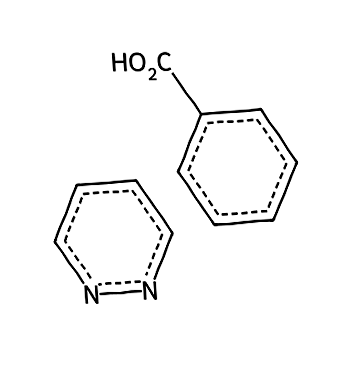 O=C(O)c1ccccc1.c1ccnnc1